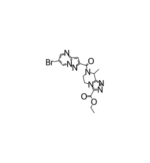 CCOC(=O)c1nnc2n1CCN(C(=O)c1cc3ncc(Br)cn3n1)C2C